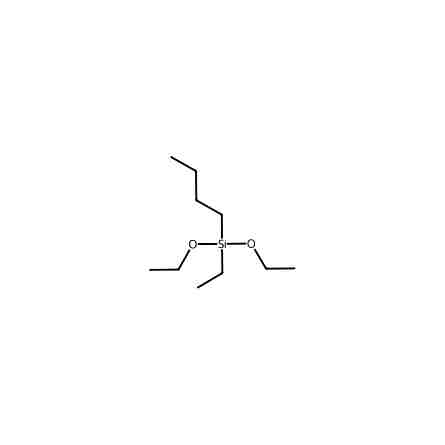 CCCC[Si](CC)(OCC)OCC